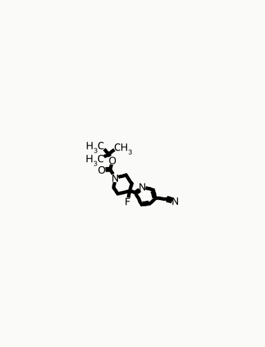 CC(C)(C)OC(=O)N1CCC(F)(c2ccc(C#N)cn2)CC1